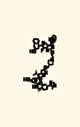 Cc1ncsc1-c1ccc([C@H](C)NC(=O)[C@@H]2C[C@@H](O)CN2C(=O)[C@@H](c2cc(OCC3CCN(CCOc4nc(N5CC6CCC(C5)N6)c5cnc(-c6cc(O)cc7ccccc67)c(F)c5n4)CC3)no2)C(C)C)cc1